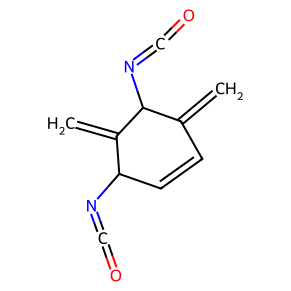 C=C1C=CC(N=C=O)C(=C)C1N=C=O